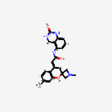 CN1CC2(C/C(=C\C(=O)Nc3cccc4c3CNC(=O)N4)c3ccc(C(F)(F)F)cc3O2)C1